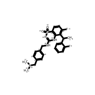 CC(c1ccccc1F)c1c(F)ccc2c1NC(NCc1ccc(CN(C)C)cc1)=NS2(=O)=O